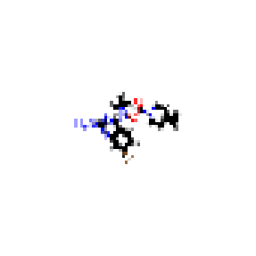 CC(C)(C)N(OC(=O)N1CCC2(CC1)CC2)c1nc(N)nc2cc(Br)ccc12